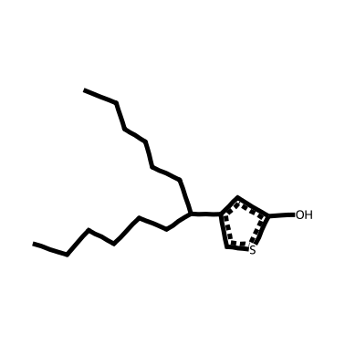 CCCCCCC(CCCCCC)c1csc(O)c1